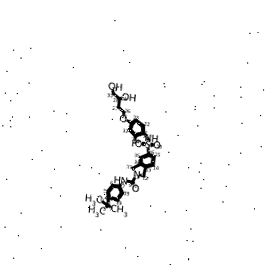 CC(C)(C)c1ccc(NC(=O)N2Cc3ccc(S(=O)(=O)Nc4ccc(OCCC(O)CO)cc4F)cc3C2)cc1